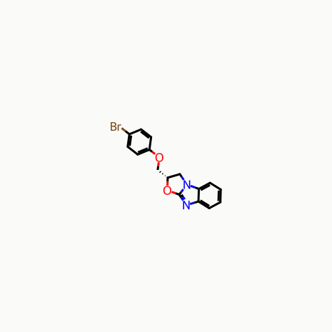 Brc1ccc(OC[C@@H]2Cn3c(nc4ccccc43)O2)cc1